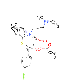 C/C=C1/S[C@@H](c2ccc(F)cc2)[C@@H](OC(C)=O)C(=O)N(CCN(C)C)/C1=C/C